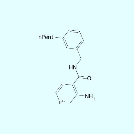 CCCCCc1cccc(CNC(=O)C(/C=C\C(C)C)=C(/C)N)c1